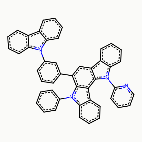 c1ccc(-n2c3ccccc3c3c2c(-c2cccc(-n4c5ccccc5c5ccccc54)c2)cc2c4ccccc4n(-c4ccccn4)c23)cc1